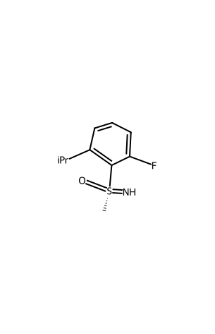 CC(C)c1cccc(F)c1[S@@](C)(=N)=O